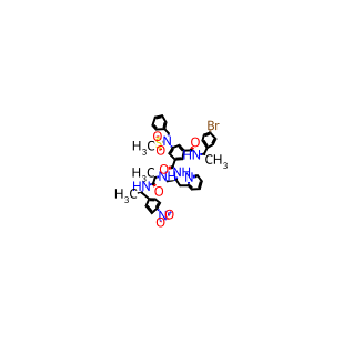 C[C@H](NC[C@H](Cc1ccccn1)NC(=O)c1cc(C(=O)N[C@H](C)c2ccc(Br)cc2)cc(N(Cc2ccccc2)S(C)(=O)=O)c1)C(=O)N[C@H](C)c1ccc([N+](=O)[O-])cc1